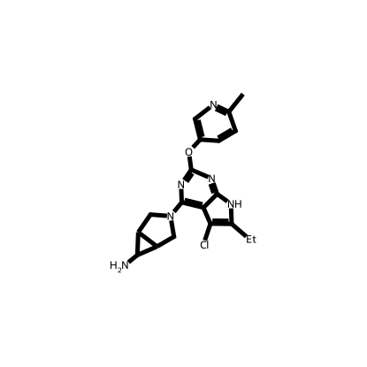 CCc1[nH]c2nc(Oc3ccc(C)nc3)nc(N3CC4C(N)C4C3)c2c1Cl